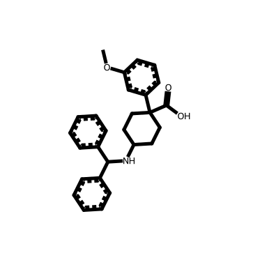 COc1cccc(C2(C(=O)O)CCC(NC(c3ccccc3)c3ccccc3)CC2)c1